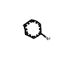 [2H]c1cc[c]cc1